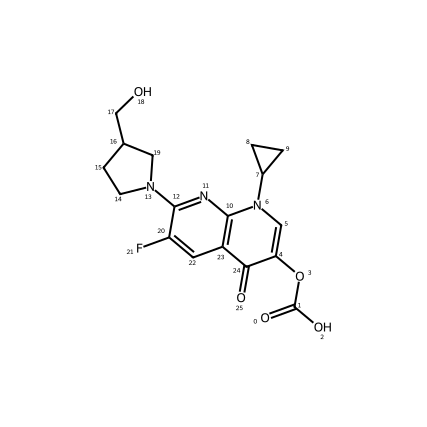 O=C(O)Oc1cn(C2CC2)c2nc(N3CCC(CO)C3)c(F)cc2c1=O